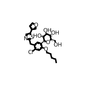 CCCCCOc1cc(Cl)c(Cc2ncc(-c3ccoc3)s2)cc1[C@@H]1O[C@H](CO)[C@@H](O)[C@H](O)[C@H]1O